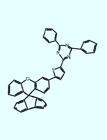 c1ccc(-c2nc(-c3ccccc3)nc(-c3ccc(-c4ccc5c(c4)Oc4ccccc4C54c5ccccc5-c5ccccc54)s3)n2)cc1